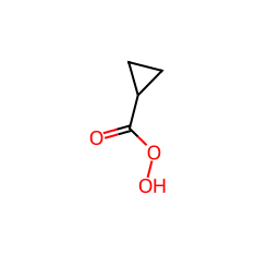 O=C(OO)C1CC1